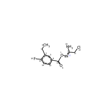 CCc1cc(C(=O)O/N=C(\N)CCl)ccc1F